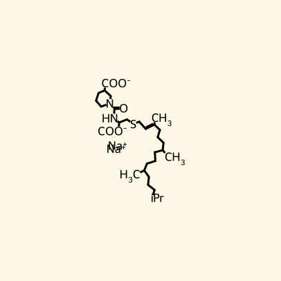 C/C(=C\CSCC(NC(=O)N1CCCC(C(=O)[O-])C1)C(=O)[O-])CCCC(C)CCCC(C)CCCC(C)C.[Na+].[Na+]